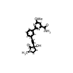 COc1cc(C(N)=O)nc(-c2cccc(C#C[C@]3(O)CCN(C)C3=O)c2)n1